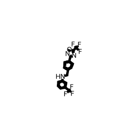 FC(F)(F)c1cccc(NCc2ccc(-c3noc(C(F)(F)F)n3)cc2)c1